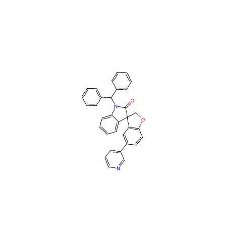 O=C1N(C(c2ccccc2)c2ccccc2)c2ccccc2C12COc1ccc(-c3cccnc3)cc12